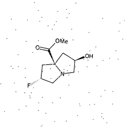 COC(=O)[C@@]12C[C@@H](O)CN1C[C@H](F)C2